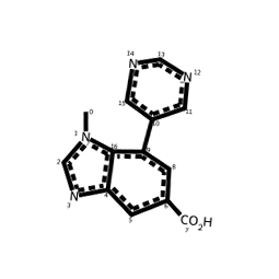 Cn1cnc2cc(C(=O)O)cc(-c3cncnc3)c21